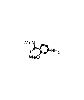 CNC(=O)c1ccc(N)cc1OC